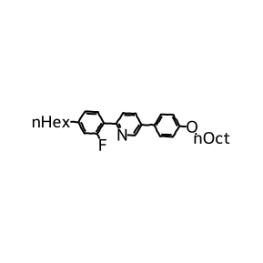 CCCCCCCCOc1ccc(-c2ccc(-c3ccc(CCCCCC)cc3F)nc2)cc1